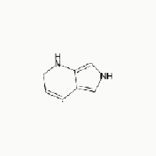 [C]1=CCNc2c[nH]cc21